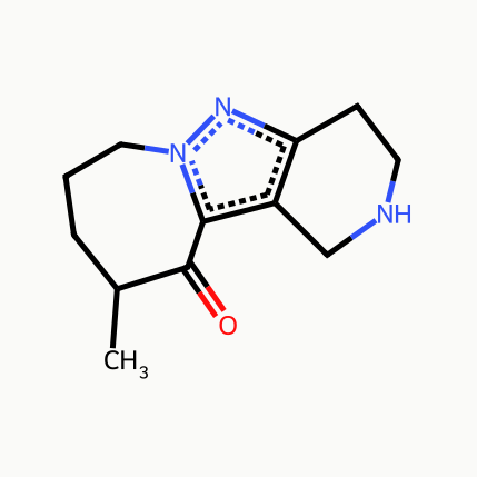 CC1CCCn2nc3c(c2C1=O)CNCC3